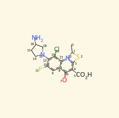 CC1Sc2c(C(=O)O)c(=O)c3cc(F)c(N4CCC(N)C4)c(Cl)c3n21